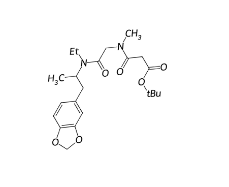 CCN(C(=O)CN(C)C(=O)CC(=O)OC(C)(C)C)C(C)Cc1ccc2c(c1)OCO2